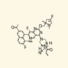 C#Cc1c(F)ccc2cc(C(C)=O)cc(-c3ncc4c(N5C[C@H]6CC(C)(C#N)[C@@H](C5)N6C(=O)C=C)nc(OC[C@]5(C)C[C@@H](F)CN5C)nc4c3F)c12